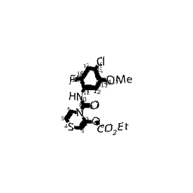 CCOC(=O)OC1=CSC=CN1C(=O)Nc1cc(OC)c(Cl)cc1F